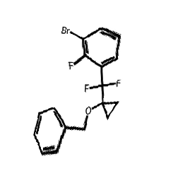 Fc1c(Br)cccc1C(F)(F)C1(OCc2ccccc2)CC1